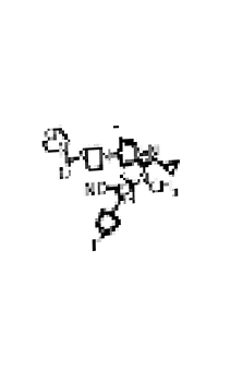 CN(c1nc(-c2ccc(F)cc2)c(C#N)s1)c1c(C2CC2)nn2cc(F)c(N3CCN(C(=O)N4CCOCC4)CC3)cc12